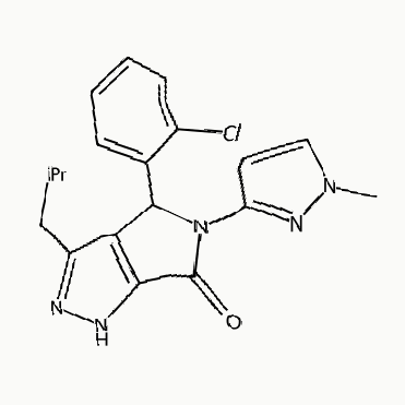 CC(C)Cc1n[nH]c2c1C(c1ccccc1Cl)N(c1ccn(C)n1)C2=O